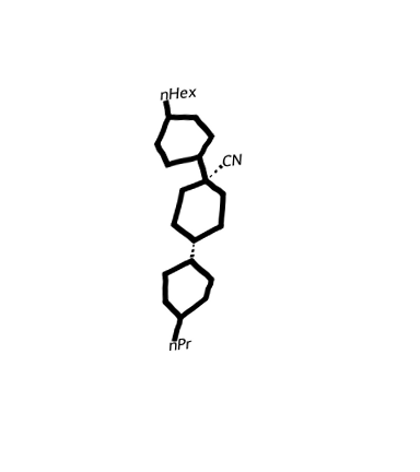 CCCCCCC1CCC([C@]2(C#N)CC[C@@H](C3CCC(CCC)CC3)CC2)CC1